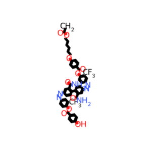 C=CC(=O)OCCCCCCOc1ccc(C(=O)Oc2ccc(/N=N\c3ccc(-c4ccc(/N=N\c5ccc(OC(=O)c6ccc(O)cc6)c(C(F)(F)F)c5)cc4C(N)=O)c(C(N)=O)c3)cc2C(F)(F)F)cc1